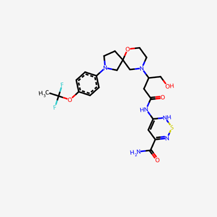 CC(F)(F)Oc1ccc(N2CCC3(C2)CN(C(CO)CC(=O)NC2=CC(C(N)=O)=NSN2)CCO3)cc1